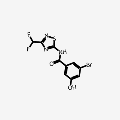 O=C(Nc1nc(C(F)F)ns1)c1cc(O)cc(Br)c1